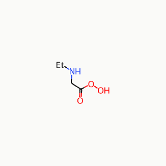 CCNCC(=O)OO